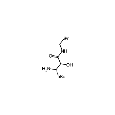 CCCC[C@H](N)C(O)C(=O)NCC(C)C